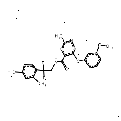 COc1cccc(Sc2nnc(C)nc2C(=O)NCC(F)(F)c2ccc(C)cc2C)c1